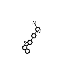 N#Cc1ccnc(-c2ccc(-c3ccc4c(c3)sc3ccc5ccccc5c34)cc2)c1